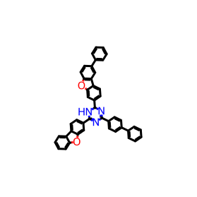 c1ccc(-c2ccc(C3=NC(c4ccc5c(c4)oc4ccc(-c6ccccc6)cc45)NC(c4ccc5c(c4)oc4ccccc45)=N3)cc2)cc1